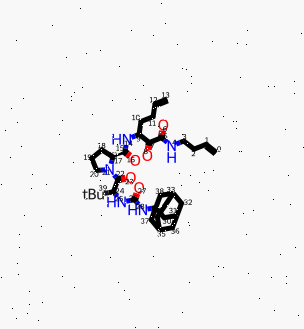 C=CCCNC(=O)C(=O)C(CCC=C)NC(=O)[C@@H]1CCCN1C(=O)C(NC(=O)NC12CC3CC(CC(C3)C1)C2)C(C)(C)C